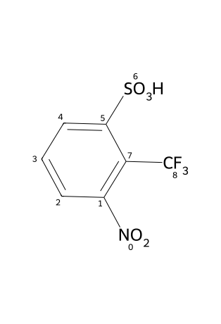 O=[N+]([O-])c1cccc(S(=O)(=O)O)c1C(F)(F)F